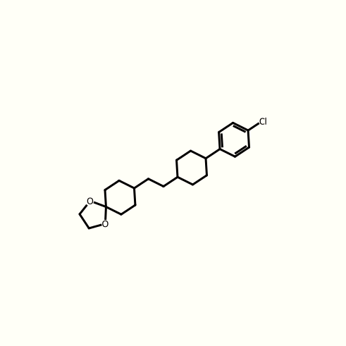 Clc1ccc(C2CCC(CCC3CCC4(CC3)OCCO4)CC2)cc1